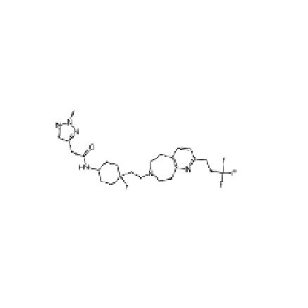 Cn1ncc(CC(=O)NC2CCC(F)(CCN3CCc4ccc(CCC(F)(F)F)nc4CC3)CC2)n1